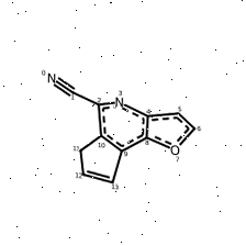 N#Cc1nc2ccoc2c2c1CC=C2